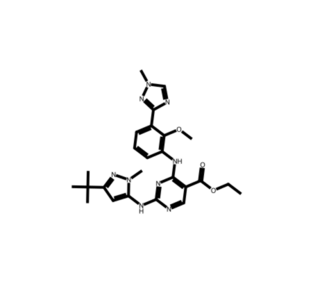 CCOC(=O)c1cnc(Nc2cc(C(C)(C)C)nn2C)nc1Nc1cccc(-c2ncn(C)n2)c1OC